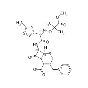 COC(=O)C(C)(C)O/N=C(\C(=O)N[C@@H]1C(=O)N2C(C(=O)[O-])=C(C[n+]3ccccc3)CS[C@H]12)c1csc(N)n1